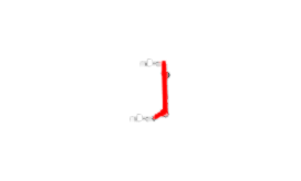 CCCCCCCCCCCCCCCOC(=O)CCCCCCCCCCCCCCCCCCCCC(=O)OCCCCCCCCCCCCCCC